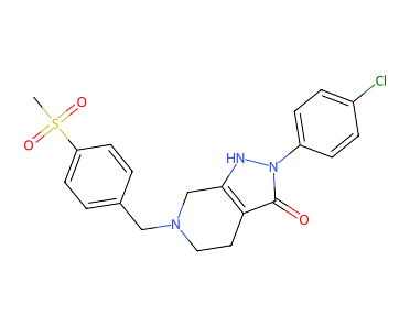 CS(=O)(=O)c1ccc(CN2CCc3c([nH]n(-c4ccc(Cl)cc4)c3=O)C2)cc1